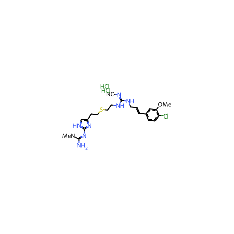 CN/C(N)=N\c1nc(CCSCCN/C(=N\C#N)NC/C=C/c2ccc(Cl)c(OC)c2)c[nH]1.Cl.Cl